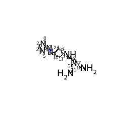 Cn1cc[n+](C)c1/N=N/c1ccc(NCCN(CCN)CCN)cc1